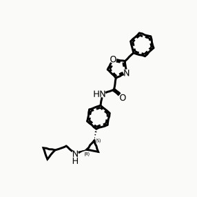 O=C(Nc1ccc([C@@H]2C[C@H]2NCC2CC2)cc1)c1coc(-c2ccccc2)n1